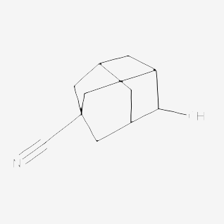 CC1C2CC3CC1CC(C#N)(C3)C2